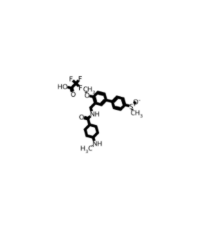 CNC1CCC(C(=O)NCc2cc(-c3ccc([S+](C)[O-])cc3)ccc2OC)CC1.O=C(O)C(F)(F)F